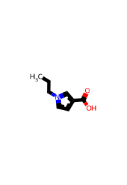 CCCn1ccc(C(=O)O)c1